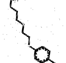 Cc1ccc(OCCOCCCS(=O)(=O)O)cc1